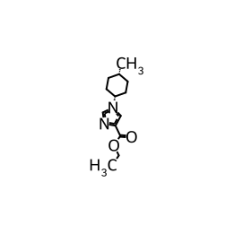 CCOC(=O)c1cn([C@H]2CC[C@@H](C)CC2)cn1